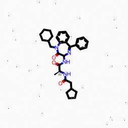 C[C@H](NC(=O)CC1CCCC1)C(=O)NC1N=C(c2ccccc2)c2ccccc2N(CC2CCCCC2)C1=O